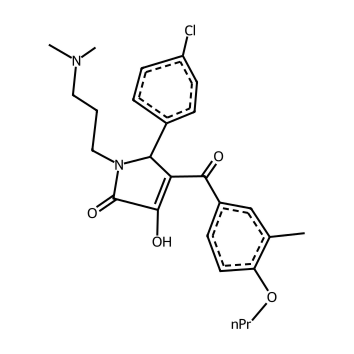 CCCOc1ccc(C(=O)C2=C(O)C(=O)N(CCCN(C)C)C2c2ccc(Cl)cc2)cc1C